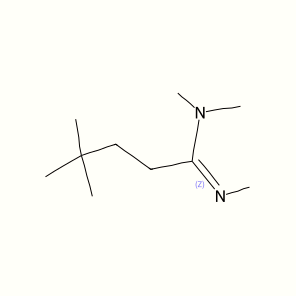 C/N=C(/CCC(C)(C)C)N(C)C